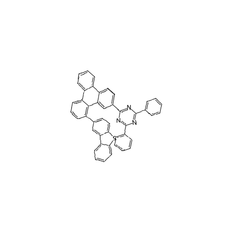 c1ccc(-c2nc(-c3ccccc3)nc(-c3ccc4c5ccccc5c5cccc(-c6ccc7sc8ccccc8c7c6)c5c4c3)n2)cc1